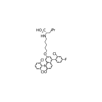 CC(C)C[C@H](NCCCCCOc1cc(-c2ccc(F)cc2Cl)c2ccc(=O)n(-c3c(Cl)cccc3Cl)c2c1)C(=O)O